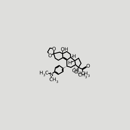 CO[C@]1(C(C)=O)CC[C@H]2[C@@H]3CC[C@@]4(O)CC5(CCC4=C3[C@@H](c3ccc(N(C)C)cc3)C[C@@]21C)OCCO5